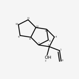 C=CC1(O)CC2CC1C1CCCC21